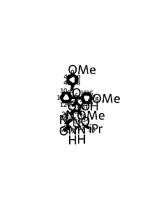 COc1ccc(COC(c2ccccc2)(c2ccc(OC)cc2)C2OC(n3cnc4c(=O)[nH]c(NC(=O)C(C)C)nc43)C(OC)C2O)cc1